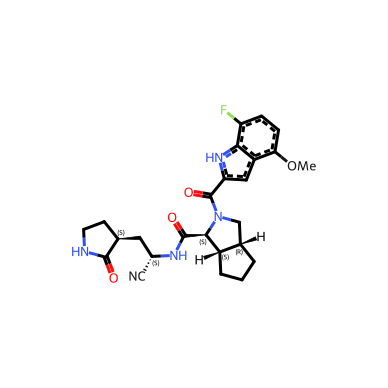 COc1ccc(F)c2[nH]c(C(=O)N3C[C@@H]4CCC[C@@H]4[C@H]3C(=O)N[C@H](C#N)C[C@@H]3CCNC3=O)cc12